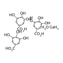 O.O=C(O)c1cc(O)c(O)c(O)c1.O=C(O)c1cc(O)c(O)c(O)c1.O=C(O)c1cc(O)c(O)c(O)c1.[GaH3]